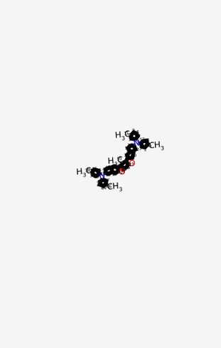 Cc1ccc(N(c2cccc(C)c2)c2ccc3cc4c(cc3c2)oc2cc3oc5cc6cc(N(c7ccc(C)cc7)c7cccc(C)c7)ccc6cc5c3c(C)c24)cc1